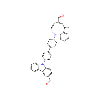 C=C1/C=C(C=O)\C=C/CN(C2=CC=C(c3ccc(-n4c5ccccc5c5cc(C=O)ccc54)cc3)CC2)c2ccccc21